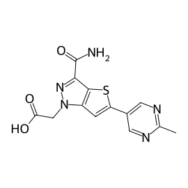 Cc1ncc(-c2cc3c(s2)c(C(N)=O)nn3CC(=O)O)cn1